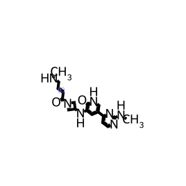 CNC/C=C/C(=O)N1CC(Nc2cc(-c3ccnc(NC)n3)c[nH]c2=O)C1